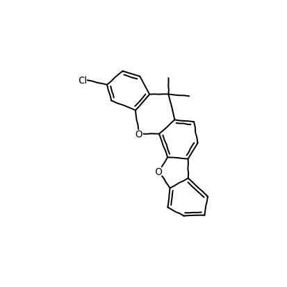 CC1(C)c2ccc(Cl)cc2Oc2c1ccc1c2oc2ccccc21